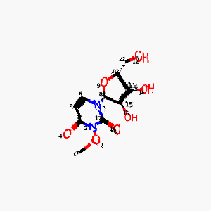 COn1c(=O)ccn([C@@H]2O[C@H](CO)[C@@H](O)[C@H]2O)c1=O